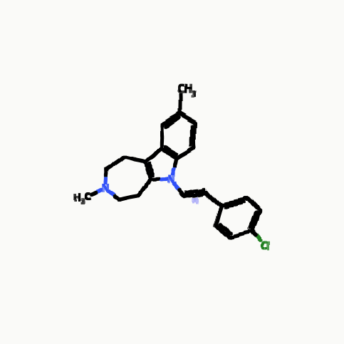 Cc1ccc2c(c1)c1c(n2/C=C/c2ccc(Cl)cc2)CCN(C)CC1